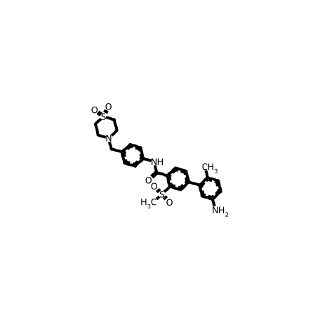 Cc1ccc(N)cc1-c1ccc(C(=O)Nc2ccc(CN3CCS(=O)(=O)CC3)cc2)c(S(C)(=O)=O)c1